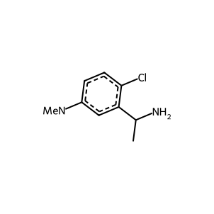 CNc1ccc(Cl)c(C(C)N)c1